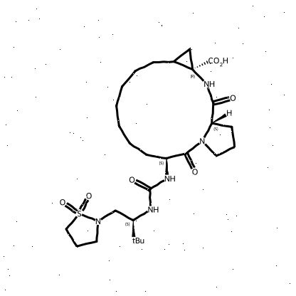 CC(C)(C)[C@@H](CN1CCCS1(=O)=O)NC(=O)N[C@H]1CCCCCCCC2C[C@@]2(C(=O)O)NC(=O)[C@@H]2CCCN2C1=O